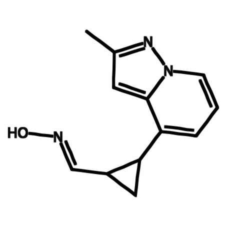 Cc1cc2c(C3CC3C=NO)cccn2n1